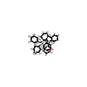 c1ccc(-n2c3ccccc3c3cccc([Si](c4ccccc4)(c4ccccc4)c4ccncc4)c32)cc1